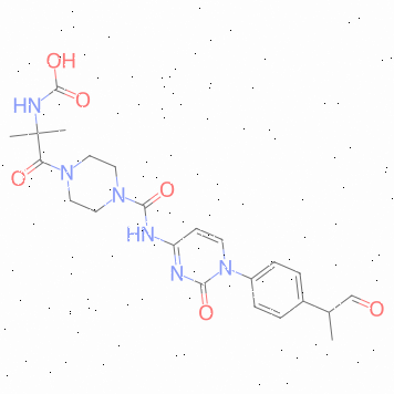 CC(C=O)c1ccc(-n2ccc(NC(=O)N3CCN(C(=O)C(C)(C)NC(=O)O)CC3)nc2=O)cc1